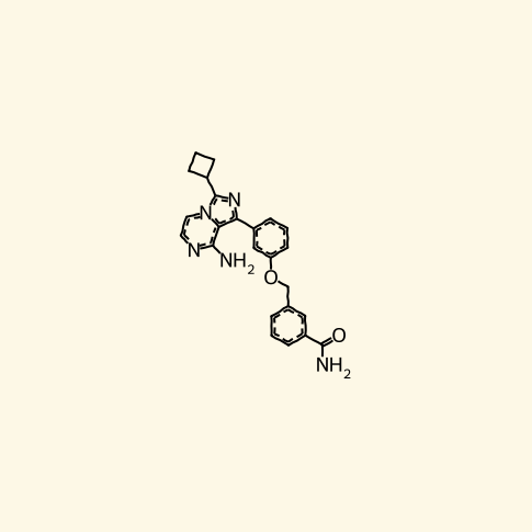 NC(=O)c1cccc(COc2cccc(-c3nc(C4CCC4)n4ccnc(N)c34)c2)c1